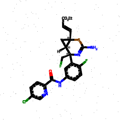 CCOC(=O)C=C[C@]12C[C@H]1[C@@](CF)(c1cc(NC(=O)c3ccc(Cl)cn3)ccc1F)N=C(N)S2